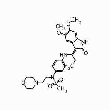 CCC(Nc1ccc(N(CCN2CCOCC2)S(C)(=O)=O)cc1)=C1C(=O)Nc2cc(OC)c(OC)cc21